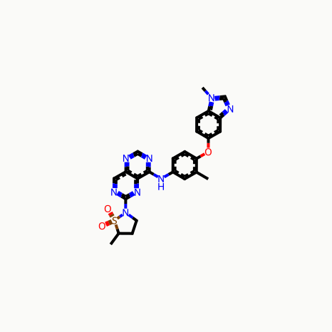 Cc1cc(Nc2ncnc3cnc(N4CCC(C)S4(=O)=O)nc23)ccc1Oc1ccc2c(c1)ncn2C